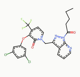 CCCCC(=O)n1nc(Cn2ccc(C(F)(F)F)c(Oc3cc(Cl)cc(Cl)c3)c2=O)c2cccnc21